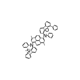 Cc1cc(N(c2ccccc2)c2cccc3c2[Si](C)(C)c2ccccc2-3)c2ccc3c(C)cc(N(c4ccccc4)c4cccc5c4oc4c(-c6ccccc6)cccc45)c4ccc1c2c34